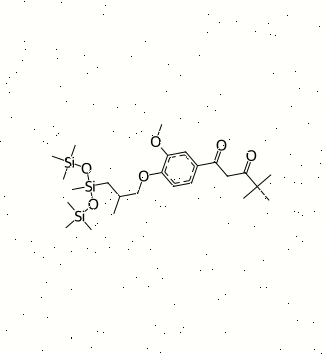 COc1cc(C(=O)CC(=O)C(C)(C)C)ccc1OCC(C)C[Si](C)(O[Si](C)(C)C)O[Si](C)(C)C